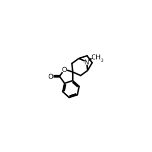 CN1C2CCC1CC1(C2)OC(=O)c2ccccc21